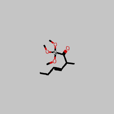 CC/C=C/C(C)C(=O)[Si](OC)(OC)OC